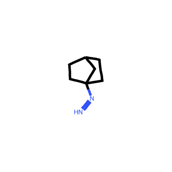 N=NC12CCC(CC1)C2